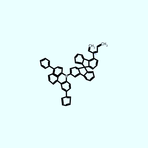 C=C/C=C(\C=C)c1cccc2c1-c1ccccc1C21c2ccccc2-c2cc(N(c3ccc(-c4ccccc4)cc3)c3ccc(-c4ccccc4)cc3-c3ccccc3)ccc21